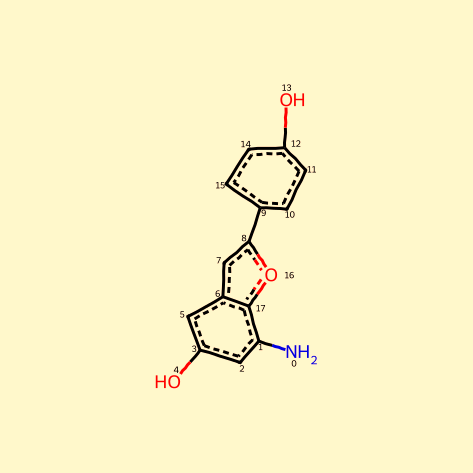 Nc1cc(O)cc2cc(-c3ccc(O)cc3)oc12